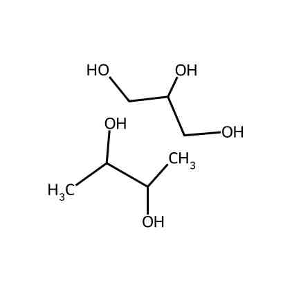 CC(O)C(C)O.OCC(O)CO